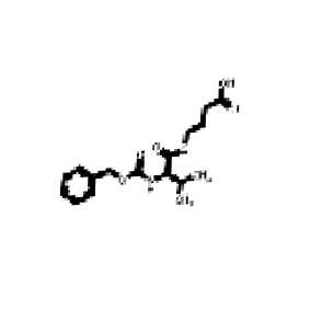 CC(C)C(NC(=O)OCc1ccccc1)C(=O)OCCCC(=O)O